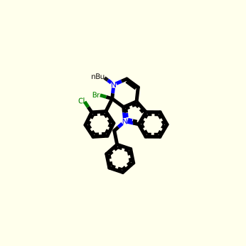 CCCCN1C=Cc2c(n(Cc3ccccc3)c3ccccc23)C1(Br)c1ccccc1Cl